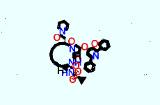 O=C1N[C@]2(C(=O)NS(=O)(=O)C3CC3)C[C@H]2/C=C\CCCCC[C@H](CC(=O)N2CCCCC2)C(=O)N2C[C@H](Oc3cc(-c4ccccc4)nc4c3oc3ccccc34)C[C@@H]12